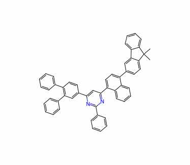 CC1(C)c2ccccc2-c2cc(-c3ccc(-c4cc(-c5ccc(-c6ccccc6)c(-c6ccccc6)c5)nc(-c5ccccc5)n4)c4ccccc34)ccc21